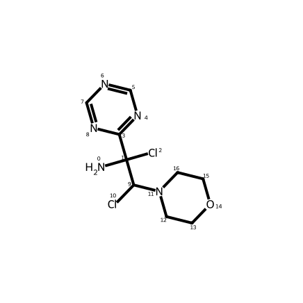 NC(Cl)(c1ncncn1)C(Cl)N1CCOCC1